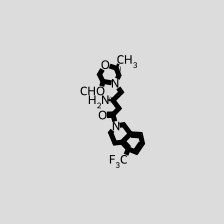 C[C@H]1CN(C[C@@H](N)CC(=O)N2CCc3c(cccc3C(F)(F)F)C2)C(C=O)CO1